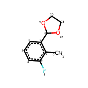 Cc1c(F)cccc1C1OCCO1